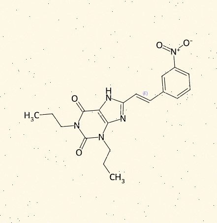 CCCn1c(=O)c2[nH]c(/C=C/c3cccc([N+](=O)[O-])c3)nc2n(CCC)c1=O